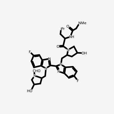 CNCC(=O)NC(CC(C)C)C(=O)N1CC(O)CC1Cn1c(-c2nc3cc(F)ccc3n2CC2CC(O)CN2C=O)nc2cc(F)ccc21